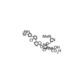 CNc1cncc(COc2nc(O[C@H]3CCc4c(-c5cccc(-c6ccc(C7=NCCN7)cc6)c5Cl)cccc43)c(Cl)cc2CN[C@@](C)(CO)C(=O)O)c1